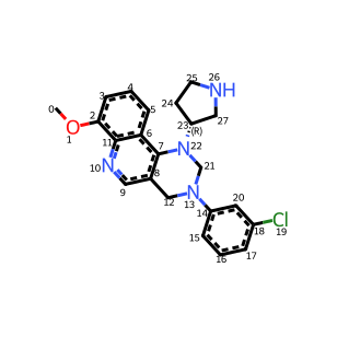 COc1cccc2c3c(cnc12)CN(c1cccc(Cl)c1)CN3[C@@H]1CCNC1